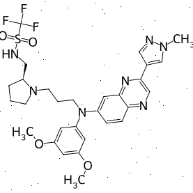 COc1cc(OC)cc(N(CCCN2CCC[C@H]2CNS(=O)(=O)C(F)(F)F)c2ccc3ncc(-c4cnn(C)c4)nc3c2)c1